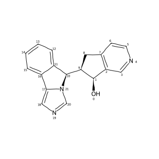 O[C@@H]1c2cnccc2C[C@@H]1[C@@H]1c2ccccc2-c2cncn21